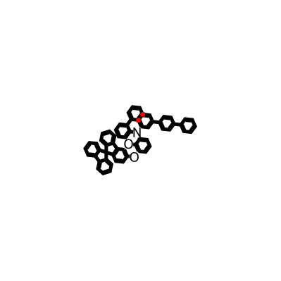 c1ccc(-c2ccc(-c3cccc(N(c4ccccc4-c4ccccc4)c4cccc5c4Oc4c(ccc6c4-c4ccccc4C64c6ccccc6-c6ccccc64)O5)c3)cc2)cc1